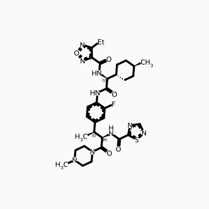 CCc1nonc1C(=O)N[C@H](C(=O)Nc1ccc([C@H](C)[C@@H](NC(=O)c2ncns2)C(=O)N2CCN(C)CC2)cc1F)[C@H]1CC[C@H](C)CC1